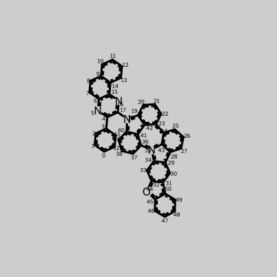 c1ccc(-c2nc3ccc4ccccc4c3nc2-n2c3cccc4c5cccc6c7cc8c(cc7n(c7cccc2c7c43)c56)oc2ccccc28)cc1